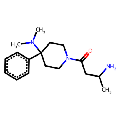 CC(N)CC(=O)N1CCC(c2ccccc2)(N(C)C)CC1